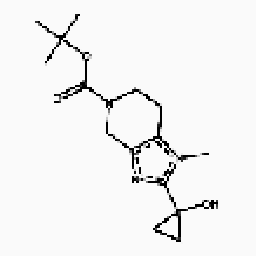 Cn1c(C2(O)CC2)nc2c1CCN(C(=O)OC(C)(C)C)C2